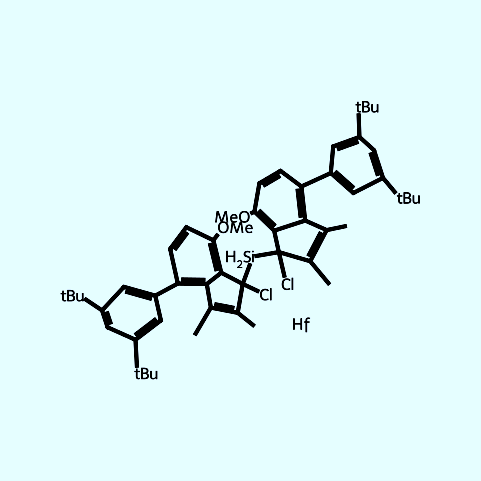 COc1ccc(-c2cc(C(C)(C)C)cc(C(C)(C)C)c2)c2c1C(Cl)([SiH2]C1(Cl)C(C)=C(C)c3c(-c4cc(C(C)(C)C)cc(C(C)(C)C)c4)ccc(OC)c31)C(C)=C2C.[Hf]